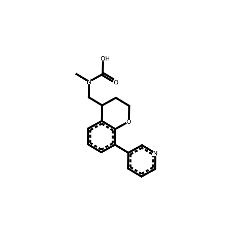 CN(CC1CCOc2c(-c3cccnc3)cccc21)C(=O)O